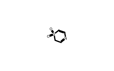 O=S1(=O)C=[C]N=[C]C1